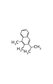 Cc1c(C(C)C)cc2ccccc2c1C